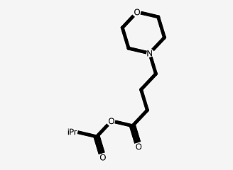 CC(C)C(=O)OC(=O)CCCN1CCOCC1